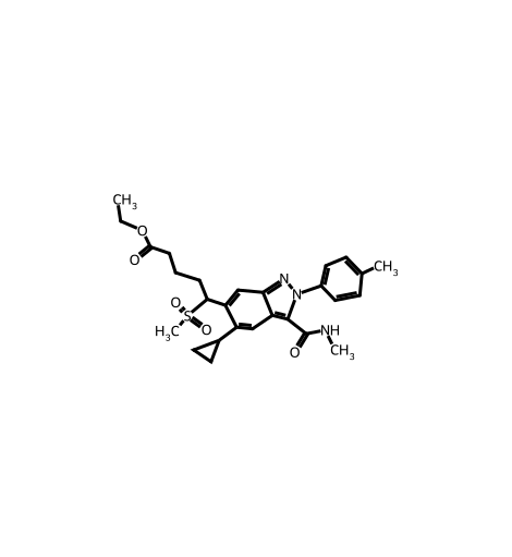 CCOC(=O)CCCC(c1cc2nn(-c3ccc(C)cc3)c(C(=O)NC)c2cc1C1CC1)S(C)(=O)=O